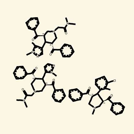 CN(C)C(=O)CN1C[C@H](C(=O)c2ccccc2)C(c2ccnn2C)[C@@H](C(=O)c2ccccc2)C1.Cc1c(C2[C@@H](C(=O)c3ccccc3)CN(CC(=O)N(C)C)C[C@@H]2C(=O)c2ccccc2)cnn1C.Cc1c(Cl)cccc1C1[C@@H](C(=O)c2ccccc2)CN(C)C[C@@H]1C(=O)c1ccccc1